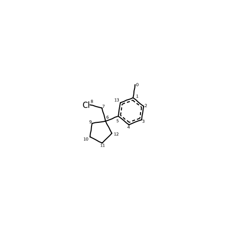 Cc1cccc(C2(CCl)CCCC2)c1